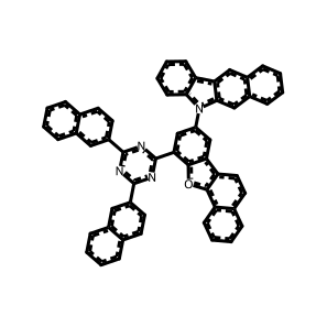 c1ccc2cc(-c3nc(-c4ccc5ccccc5c4)nc(-c4cc(-n5c6ccccc6c6cc7ccccc7cc65)cc5c4oc4c6ccccc6ccc54)n3)ccc2c1